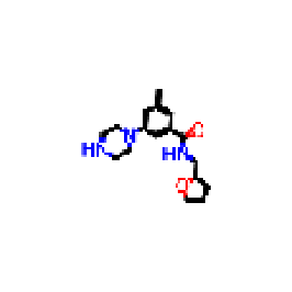 Cc1cc(C(=O)NCC2CCCO2)cc(N2CCNCC2)c1